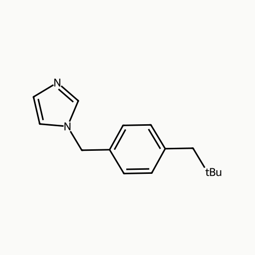 CC(C)(C)Cc1ccc(Cn2ccnc2)cc1